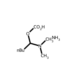 CCCCC(OC(=O)O)N(C)C.N